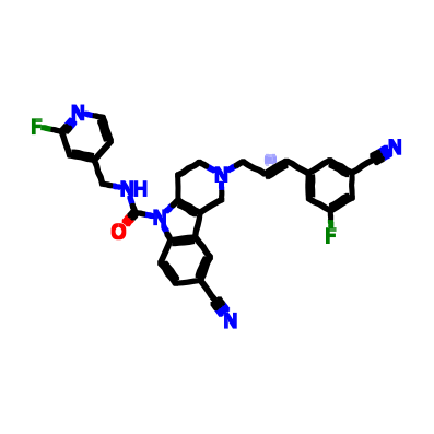 N#Cc1cc(F)cc(/C=C/CN2CCc3c(c4cc(C#N)ccc4n3C(=O)NCc3ccnc(F)c3)C2)c1